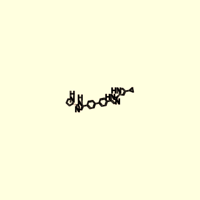 C1=C(C2CC2)CN[C@@H]1c1ncc(-c2ccc(-c3ccc(-c4cnc([C@@H]5CCCN5)[nH]4)cc3)cc2)[nH]1